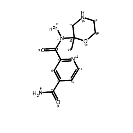 CCCN(C(=O)c1cc(C(N)=O)ccn1)C1(C)CNCCO1